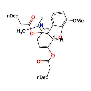 CCCCCCCCCCCC(=O)OC1=CCC2(OC(=O)CCCCCCCCCCC)C3Cc4ccc(OC)c5c4C2(CCN3C)[C@H]1O5